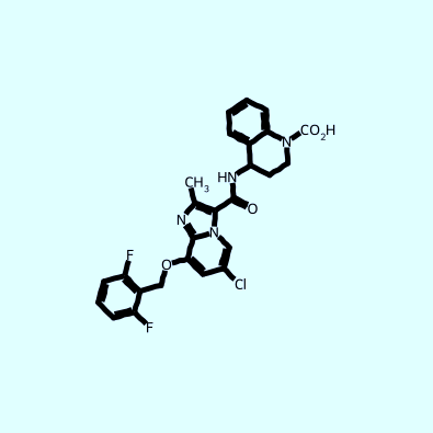 Cc1nc2c(OCc3c(F)cccc3F)cc(Cl)cn2c1C(=O)NC1CCN(C(=O)O)c2ccccc21